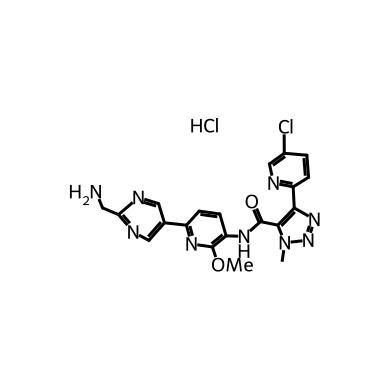 COc1nc(-c2cnc(CN)nc2)ccc1NC(=O)c1c(-c2ccc(Cl)cn2)nnn1C.Cl